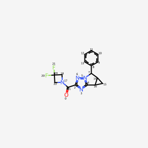 O=C(c1nc2n(n1)C(c1ccccc1)C1CC21)N1CC(F)(F)C1